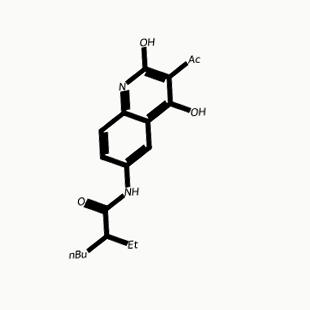 CCCCC(CC)C(=O)Nc1ccc2nc(O)c(C(C)=O)c(O)c2c1